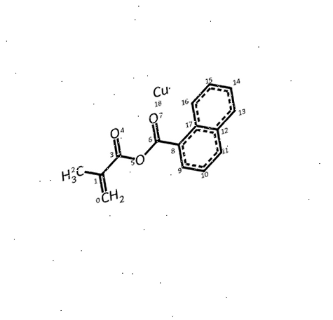 C=C(C)C(=O)OC(=O)c1cccc2ccccc12.[Cu]